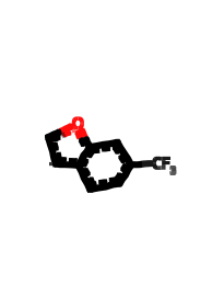 FC(F)(F)c1ccc2[c]coc2c1